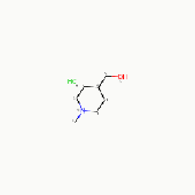 CN1CCC(CO)CC1.Cl